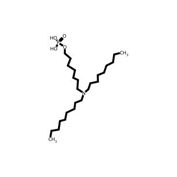 CCCCCCCCCN(CCCCCCCCC)CCCCCCCOP(=O)(O)O